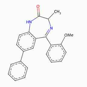 COc1ccccc1C1=NC(C)C(=O)Nc2ccc(-c3ccccc3)cc21